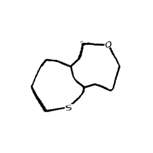 [C]1OCCC2SCCCC12